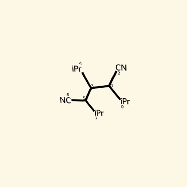 CC(C)C(C#N)C(C(C)C)C(C#N)C(C)C